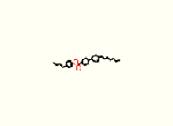 CCCCCCCC1CCC(C2CCC(C(=O)Oc3ccc(CCCC)cc3)CC2)CC1